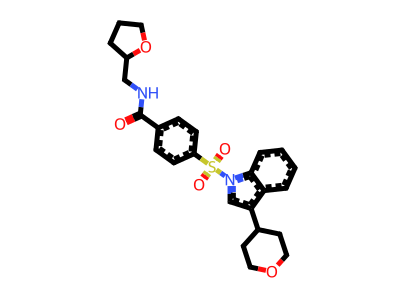 O=C(NCC1CCCO1)c1ccc(S(=O)(=O)n2cc(C3CCOCC3)c3ccccc32)cc1